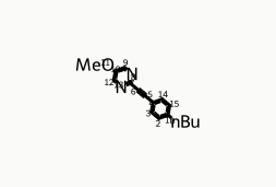 CCCCc1ccc(C#Cc2ncc(OC)cn2)cc1